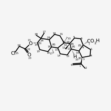 C=C(C)[C@@H]1CC[C@]2(C(=O)O)CC[C@]3(C)[C@H](CCC4[C@@]5(C)CC[C@H](OC(=O)CCl)C(C)(C)C5CC[C@]43C)C12